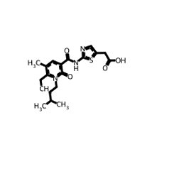 CCc1c(C)cc(C(=O)Nc2ncc(CC(=O)O)s2)c(=O)n1CCC(C)C